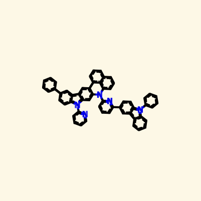 c1ccc(-c2ccc3c(c2)c2cc4c(cc2n3-c2ccccn2)N(c2cccc(-c3ccc5c(c3)c3ccccc3n5-c3ccccc3)n2)c2cccc3cccc-4c23)cc1